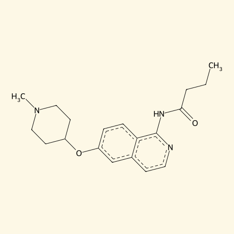 CCCC(=O)Nc1nccc2cc(OC3CCN(C)CC3)ccc12